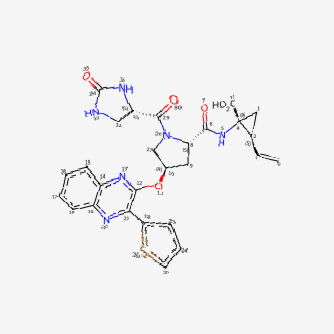 C=C[C@@H]1C[C@]1(NC(=O)[C@@H]1C[C@@H](Oc2nc3ccccc3nc2-c2cccs2)CN1C(=O)[C@@H]1CNC(=O)N1)C(=O)O